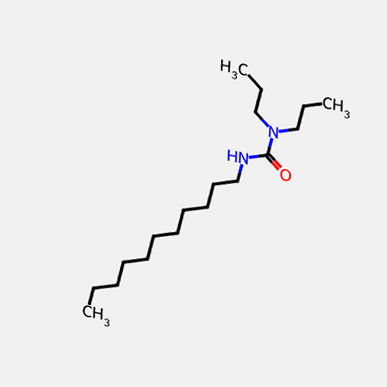 CCCCCCCCCCCNC(=O)N(CCC)CCC